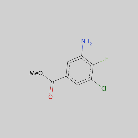 COC(=O)c1cc(N)c(F)c(Cl)c1